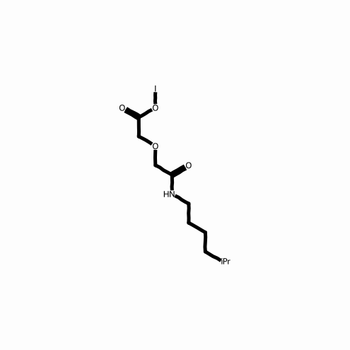 CC(C)CCCCNC(=O)COCC(=O)OI